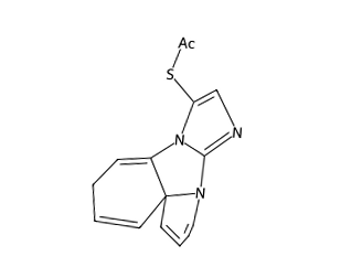 CC(=O)Sc1cnc2n1C1=CCC=CC13C=CC=CN23